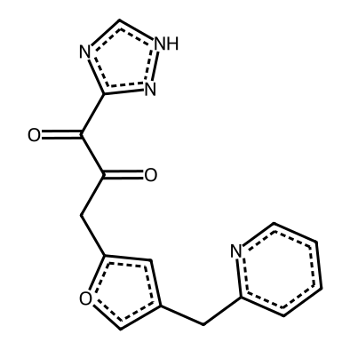 O=C(Cc1cc(Cc2ccccn2)co1)C(=O)c1nc[nH]n1